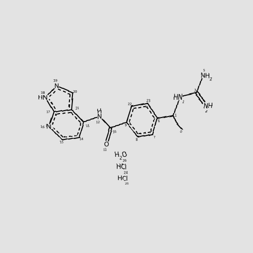 CC(NC(=N)N)c1ccc(C(=O)Nc2ccnc3[nH]ncc23)cc1.Cl.Cl.O